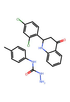 Cc1ccc(NC(=O)NN)cc1.O=C1CC(c2ccc(Cl)cc2Cl)Nc2ccccc21